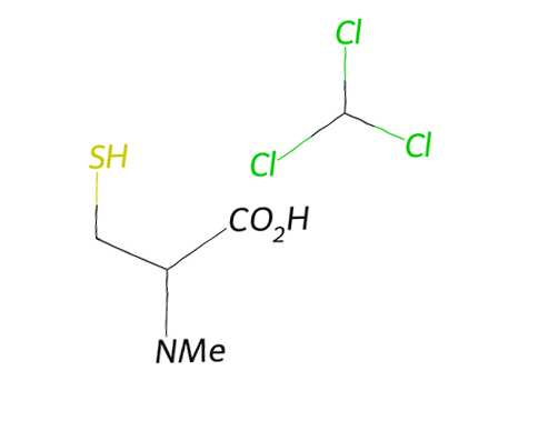 CNC(CS)C(=O)O.ClC(Cl)Cl